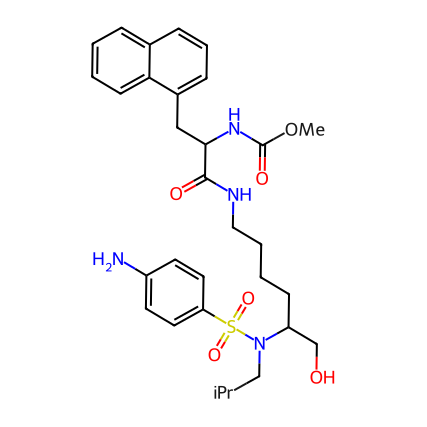 COC(=O)NC(Cc1cccc2ccccc12)C(=O)NCCCCC(CO)N(CC(C)C)S(=O)(=O)c1ccc(N)cc1